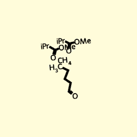 C.CCCCC=O.COC(=O)C(C)C.COC(=O)C(C)C